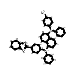 N#Cc1ccc(N(c2ccccc2)c2cccc3c(N(c4ccccc4)c4ccc(-c5nc6ccccc6o5)cc4)cccc23)cc1